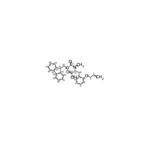 C=CCOc1ccccc1CC(C(=O)O)N(C)C(=O)OCC1c2ccccc2-c2ccccc21